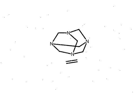 C1N2CN3CN1CN(C2)C3.C=C